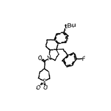 CC(C)(C)c1ccc2c(c1)CCC1N(C(=O)C3CCS(=O)(=O)CC3)CCC21Cc1cccc(F)c1